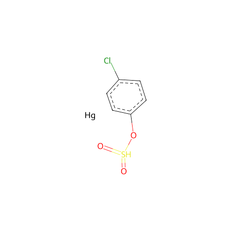 O=[SH](=O)Oc1ccc(Cl)cc1.[Hg]